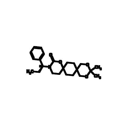 CC[C@@H](c1ccccc1)N1CCC2(CCC3(CC2)COC(C)(C)OC3)OC1=O